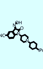 CC(C)C1CCC(N2CCC(N3C(=O)C(=NO)c4cc(C#N)ccc43)CC2)CC1